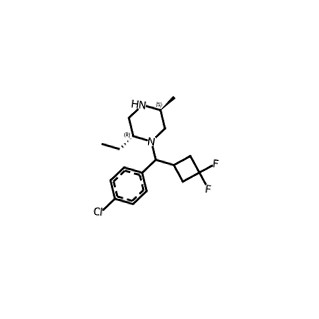 CC[C@@H]1CN[C@@H](C)CN1C(c1ccc(Cl)cc1)C1CC(F)(F)C1